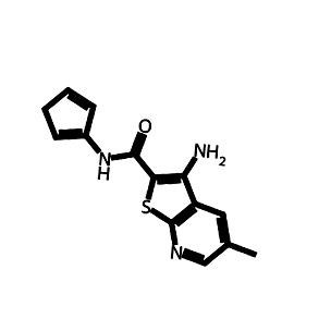 Cc1cnc2sc(C(=O)NC3=CCC=C3)c(N)c2c1